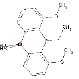 CCP(c1c(OC)cccc1OC)c1c(OC)cccc1OC